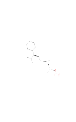 CC(C)C(=CCC1CC1C(C)C(=O)O)C1CCCCC1